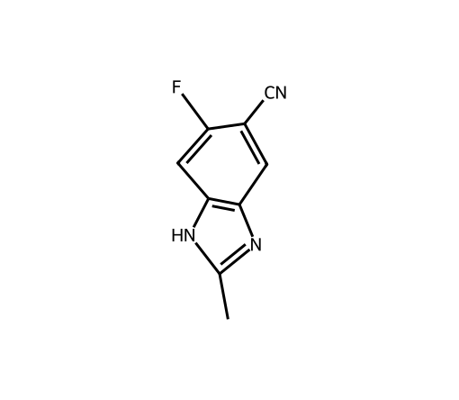 Cc1nc2cc(C#N)c(F)cc2[nH]1